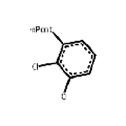 CCCC[CH]c1cccc(Cl)c1Cl